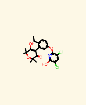 CCc1ccc(Oc2nc(O)c(Cl)cc2Cl)cc1C1=C(O)C(C)(C)OC(C)(C)C1=O